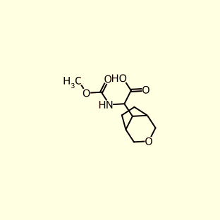 COC(=O)NC(C(=O)O)C1C2CCC1COC2